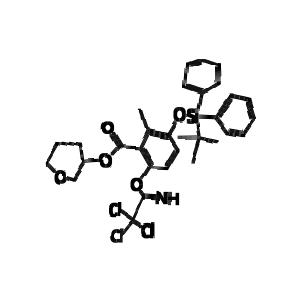 Cc1c(O[Si](c2ccccc2)(c2ccccc2)C(C)(C)C)ccc(OC(=N)C(Cl)(Cl)Cl)c1C(=O)OC1CCCOC1